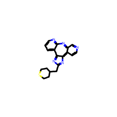 c1cnc2nc3cnccc3c3nc(CC4CCSCC4)nc-3c2c1